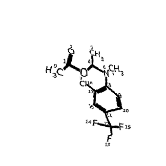 CC(=O)OC(C)N(C)c1ccc(C(F)(F)F)cc1Cl